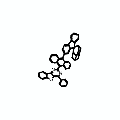 c1ccc(-c2nc(-c3c4ccccc4c(-c4ccc5c(c4)C4(c6ccccc6-5)C5CC6CC(C5)CC4C6)c4ccccc34)nc3c2oc2ccccc23)cc1